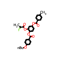 C=C(F)C(=O)Oc1cc(OC(=O)c2ccc(C)cc2)ccc1OC(=O)c1ccc(OCCCC)cc1